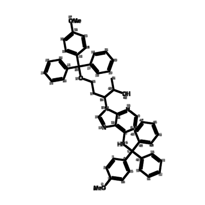 COc1ccc(C(Nc2ncnc3c2ncn3C(CCOC(c2ccccc2)(c2ccccc2)c2ccc(OC)cc2)C(C)O)(c2ccccc2)c2ccccc2)cc1